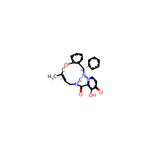 C/C1=C/CN2CN([C@@H](c3ccccc3)c3ccccc3OC1)n1ccc(=O)c(O)c1C2=O